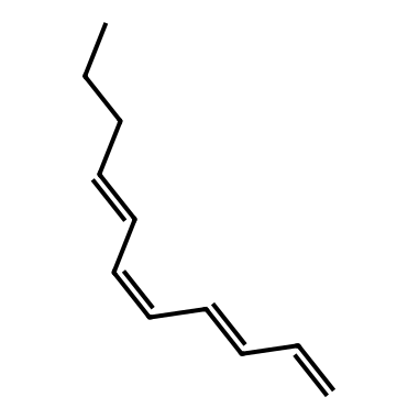 C=C/C=C/C=C\C=C\CCC